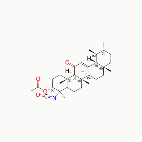 CC(=O)O[C@@H]1CC[C@@]2(C)C(CC[C@]3(C)[C@@H]2C(=O)C=C2[C@@H]4[C@@H](C)[C@H](C)CC[C@]4(C)CC[C@]23C)C1(C)N=C=O